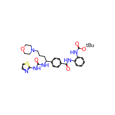 CC(C)(C)OC(=O)Nc1ccccc1NC(=O)c1ccc(C(CCCN2CCOCC2)NC(=O)Nc2nccs2)cc1